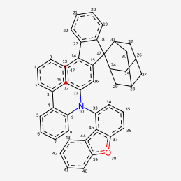 c1ccc(-c2ccccc2N(c2ccc3c(c2)C2(c4ccccc4-3)C3CC4CC(C3)CC2C4)c2cccc3oc4ccccc4c23)cc1